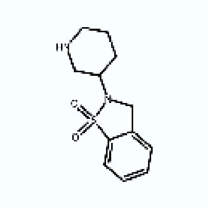 O=S1(=O)c2ccccc2CN1C1CCCNC1